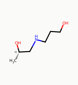 C[C@H](O)CNCCCO